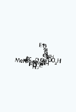 CCOCCOCC(=O)N[C@@H](CCC(=O)N[C@@H](CCC(=O)NCCCC[C@H](NC)C(C)=O)C(=O)O)C(=O)O